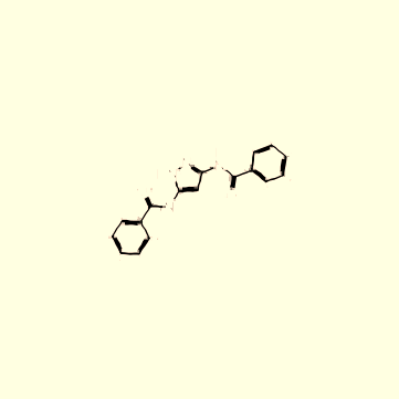 O=C(Nc1cc(NC(=O)c2ccccc2)[nH]n1)c1ccccc1